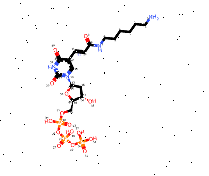 NCCCCCCNC(=O)/C=C/c1cn([C@H]2C[C@H](O)[C@@H](COP(=O)(O)OP(=O)(O)OP(=O)(O)O)O2)c(=O)[nH]c1=O